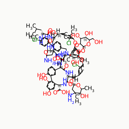 CN[C@H](CC(C)C)C(=O)N[C@H]1C(=O)N[C@@H](CC(N)=O)C(=O)N[C@H]2C(=O)N[C@H]3C(=O)N[C@H](C(=O)N[C@H](C(=O)O)c4cc(O)cc(O)c4-c4cc3ccc4O)[C@H](O[C@H]3CC(C)(N)[C@@H](O)C(C)O3)c3ccc(c(Cl)c3)Oc3cc2cc(c3O[C@@H]2OC(CO)[C@@H](O)C(O)C2O[C@H]2CC(C)(NCc3ccc(-c4ccc(Cl)cc4)cc3)[C@@H](O)[C@H](C)O2)Oc2c(C)cc(cc2Cl)[C@H]1O